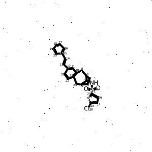 O=S(=O)(NC1C2CCC1Cc1cc(C=Cc3ccccc3)ccc1C2)c1ccc(Cl)s1